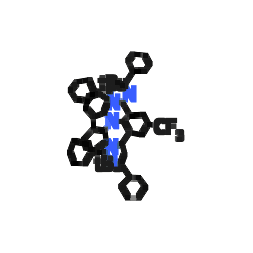 CC(C)(C)c1ccc2c3ccc(C(C)(C)C)cc3n(-c3c(-c4cc(-c5ccccc5)nc(-c5ccccc5)n4)cc(C(F)(F)F)cc3-c3nc(-c4ccccc4)cc(-c4ccccc4)n3)c2c1